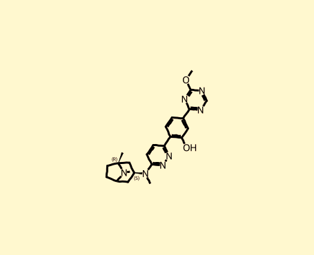 COc1ncnc(-c2ccc(-c3ccc(N(C)[C@H]4CC5CC[C@](C)(C4)N5C)nn3)c(O)c2)n1